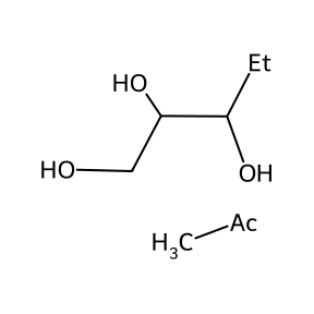 CC(C)=O.CCC(O)C(O)CO